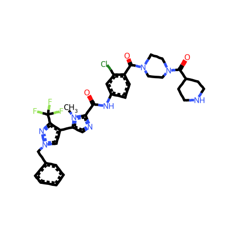 Cn1c(-c2cn(Cc3ccccc3)nc2C(F)(F)F)cnc1C(=O)Nc1ccc(C(=O)N2CCN(C(=O)C3CCNCC3)CC2)c(Cl)c1